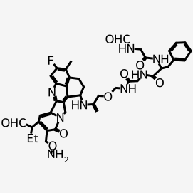 C=C(COCNC(=O)CNC(=O)C(Cc1ccccc1)NC(=O)CNC=O)NC1CCc2c(C)c(F)cc3nc4c(c1c23)Cn1c-4cc(C(C=O)CC)c(CON)c1=O